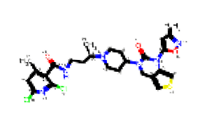 Cc1cc(NC(=O)N(Cc2ccsc2)C2CCN([C@H](C)CCNC(=O)c3c(C)cc(Cl)nc3Cl)CC2)on1